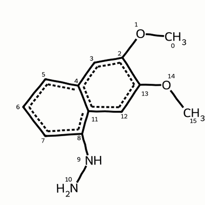 COc1cc2cccc(NN)c2cc1OC